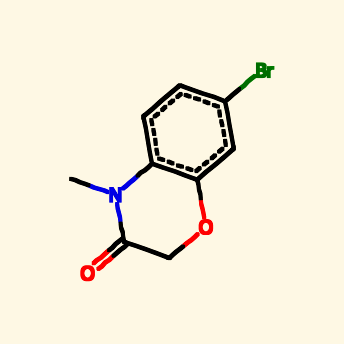 CN1C(=O)COc2cc(Br)ccc21